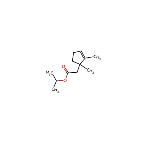 CC1=CCCC1(C)CC(=O)OC(C)C